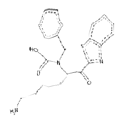 NCCCC[C@@H](C(=O)c1nc2ccccc2s1)N(Cc1ccccc1)C(=O)O